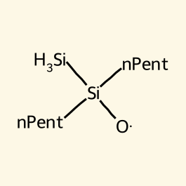 CCCCC[Si]([O])([SiH3])CCCCC